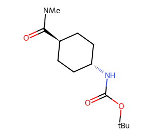 CNC(=O)[C@H]1CC[C@H](NC(=O)OC(C)(C)C)CC1